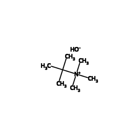 CC(C)(C)[N+](C)(C)C.[OH-]